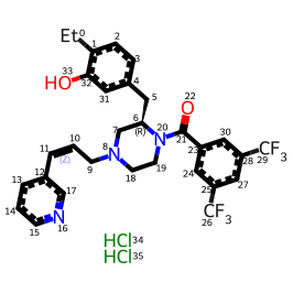 CCc1ccc(C[C@@H]2CN(C/C=C\c3cccnc3)CCN2C(=O)c2cc(C(F)(F)F)cc(C(F)(F)F)c2)cc1O.Cl.Cl